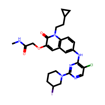 CNC(=O)COc1cc2cc(Nc3nc(N4CCCC(I)C4)ncc3Cl)ccc2n(CCC2CC2)c1=O